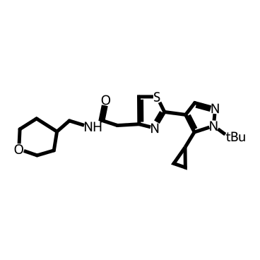 CC(C)(C)n1ncc(-c2nc(CC(=O)NCC3CCOCC3)cs2)c1C1CC1